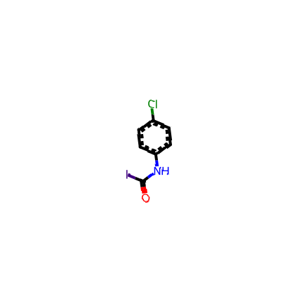 O=C(I)Nc1ccc(Cl)cc1